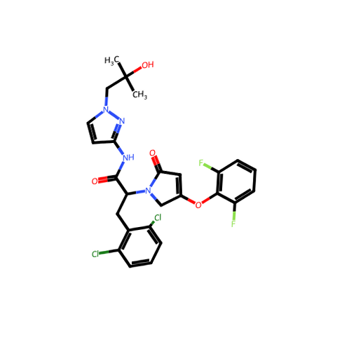 CC(C)(O)Cn1ccc(NC(=O)C(Cc2c(Cl)cccc2Cl)N2CC(Oc3c(F)cccc3F)=CC2=O)n1